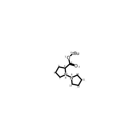 CC(C)(C)OC(=O)C1CCCN1N1CCCC1